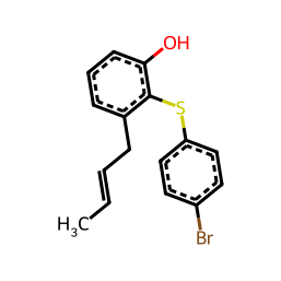 CC=CCc1cccc(O)c1Sc1ccc(Br)cc1